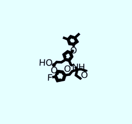 Cc1cc(C)cc(Oc2ccc(CCC(=O)O)c(C(=O)NC3(CCc4ccc(F)cc4)CCOCC3)c2)c1